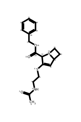 CC(=O)NCCSC1=CC2CCN2C1C(=O)OCc1ccccc1